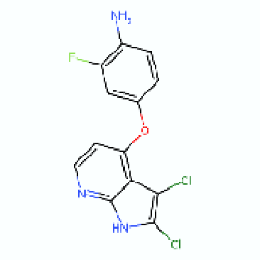 Nc1ccc(Oc2ccnc3[nH]c(Cl)c(Cl)c23)cc1F